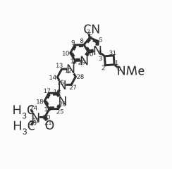 CNC1CC(n2cc(C#N)c3ccc(N4CCN(c5ccc(C(=O)N(C)C)cn5)CC4)nc32)C1